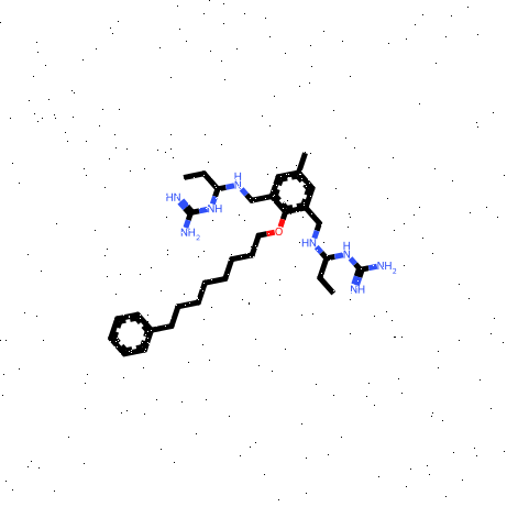 CCC(NCc1cc(C)cc(CNC(CC)NC(=N)N)c1OCCCCCCCCc1ccccc1)NC(=N)N